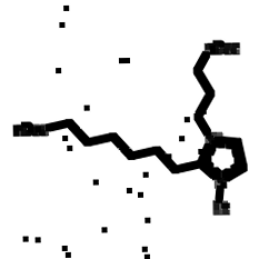 CCCCCCCCCCCCCCCCc1n(CC)cc[n+]1CCCCCCCCCCCCC